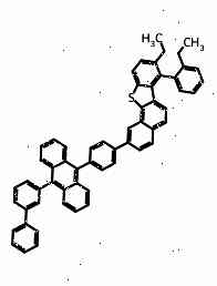 CCc1ccccc1-c1c(CC)ccc2sc3c4cc(-c5ccc(-c6c7ccccc7c(-c7cccc(-c8ccccc8)c7)c7ccccc67)cc5)ccc4ccc3c12